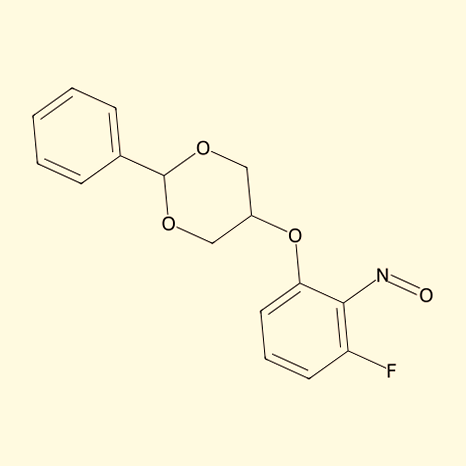 O=Nc1c(F)cccc1OC1COC(c2ccccc2)OC1